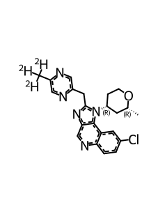 [2H]C([2H])([2H])c1cnc(Cc2nc3cnc4ccc(Cl)cc4c3n2[C@@H]2CCO[C@H](C)C2)cn1